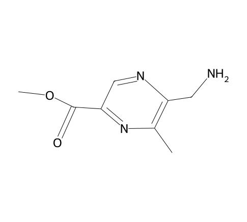 COC(=O)c1cnc(CN)c(C)n1